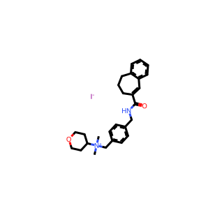 C[N+](C)(Cc1ccc(CNC(=O)C2=Cc3ccccc3CCC2)cc1)C1CCOCC1.[I-]